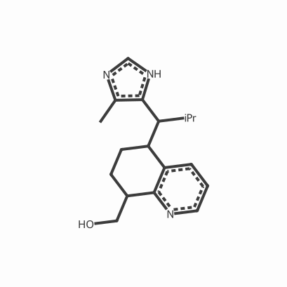 Cc1nc[nH]c1C(C(C)C)C1CCC(CO)c2ncccc21